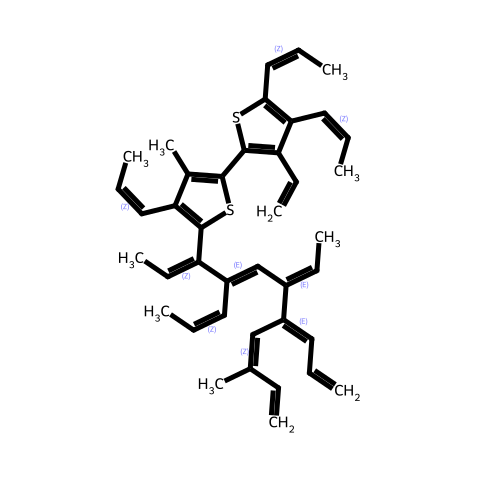 C=C/C=C(\C=C(\C)C=C)C(/C=C(\C=C/C)C(=C/C)/c1sc(-c2sc(/C=C\C)c(/C=C\C)c2C=C)c(C)c1/C=C\C)=C/C